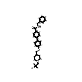 CC(C)(F)CN1CCC(COc2ccc(-c3ccc(C(=O)NCc4ccccc4)cc3)cc2)CC1